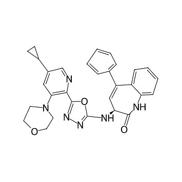 O=C1Nc2ccccc2C(c2ccccc2)=C[C@@H]1Nc1nnc(-c2ncc(C3CC3)cc2N2CCOCC2)o1